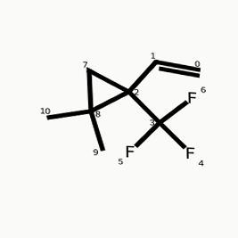 C=CC1(C(F)(F)F)CC1(C)C